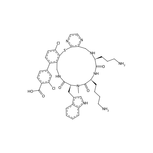 CN1C(=O)[C@H](CCCCN)NC(=O)[C@H](CCCN)NCc2nccnc2Sc2c(Cl)ccc(-c3ccc(C(=O)O)c(Cl)c3)c2CNC(=O)[C@@H]1Cc1c[nH]c2ccccc12